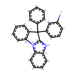 Ic1cccc(C2(c3ccccc3)c3ccccc3-n3c2nc2ccccc23)c1